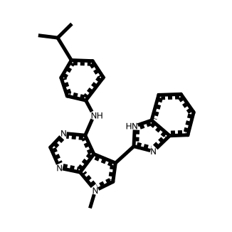 CC(C)c1ccc(Nc2ncnc3c2c(-c2nc4ccccc4[nH]2)cn3C)cc1